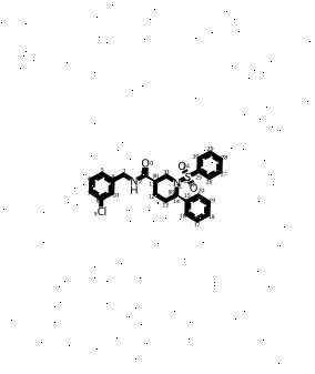 O=C(NCc1cccc(Cl)c1)[C@@H]1CC[C@H](c2ccccc2)N(S(=O)(=O)c2ccccc2)C1